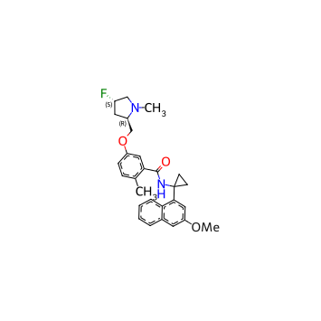 COc1cc(C2(NC(=O)c3cc(OC[C@H]4C[C@H](F)CN4C)ccc3C)CC2)c2ccccc2c1